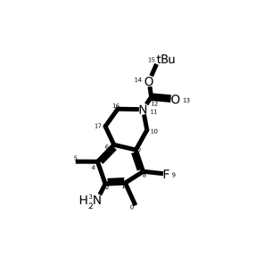 Cc1c(N)c(C)c2c(c1F)CN(C(=O)OC(C)(C)C)CC2